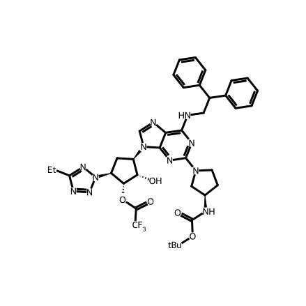 CCc1nnn([C@H]2C[C@@H](n3cnc4c(NCC(c5ccccc5)c5ccccc5)nc(N5CC[C@@H](NC(=O)OC(C)(C)C)C5)nc43)[C@H](O)[C@@H]2OC(=O)C(F)(F)F)n1